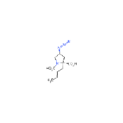 CC=CCC1(C(=O)O)C[C@H](N=[N+]=[N-])CN1C(=O)O